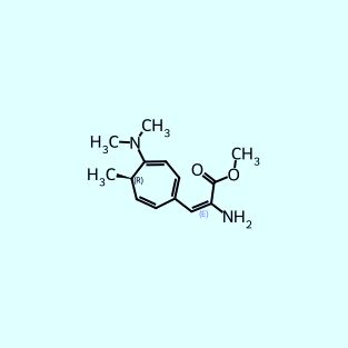 COC(=O)/C(N)=C\C1=CC=C(N(C)C)[C@H](C)C=C1